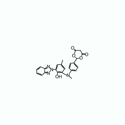 Cc1cc(CN(C)c2ccc(C3OC(=O)CC(=O)O3)cc2)c(O)c(-n2nc3ccccc3n2)c1